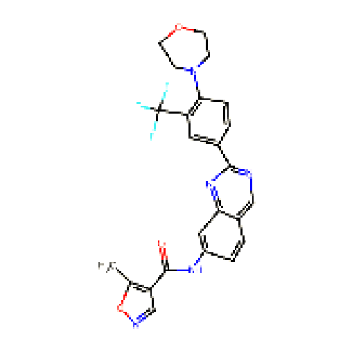 Cc1oncc1C(=O)Nc1ccc2cnc(-c3ccc(N4CCOCC4)c(C(F)(F)F)c3)nc2c1